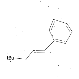 CC(C)(C)CC=Cc1[c]cccc1